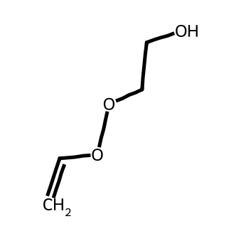 C=COOCCO